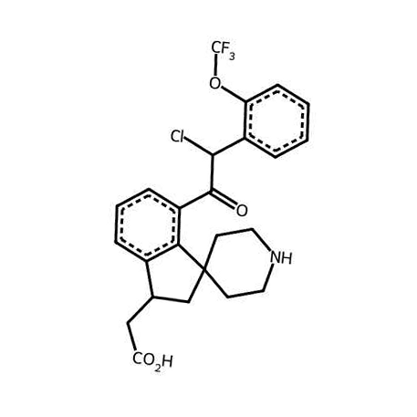 O=C(O)CC1CC2(CCNCC2)c2c(C(=O)C(Cl)c3ccccc3OC(F)(F)F)cccc21